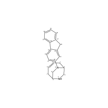 C1=C\CC2CNC(C/1)CN2c1ccc2c(c1)Cc1ccccc1-2